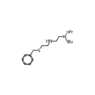 CCCN(CCNCCSCc1ccccc1)C(C)CC